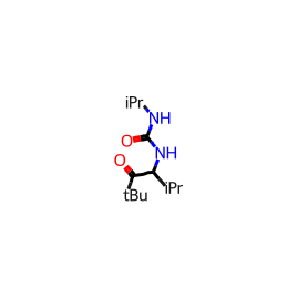 CC(C)NC(=O)NC(C(=O)C(C)(C)C)C(C)C